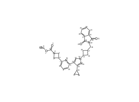 CC(C)(C)OC(=O)N1CC(c2cccc(-c3cn(C4CC(CN5C(=O)c6ccccc6C5=O)C4)nc3C3CC3)n2)C1